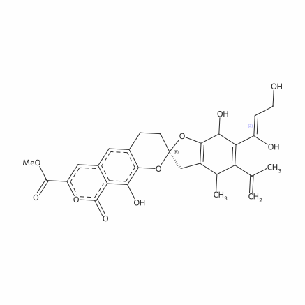 C=C(C)C1=C(/C(O)=C/CO)C(O)C2=C(C[C@]3(CCc4cc5cc(C(=O)OC)oc(=O)c5c(O)c4O3)O2)C1C